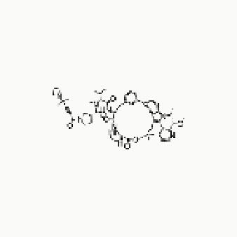 CCn1c(-c2cccnc2[C@H](C)OC)c2c3cc(ccc31)-c1cccc(c1)C[C@H](NC(=O)[C@H](C(C)C)N(C)C(=O)[C@@H]1CCN(C(=O)C#CC(C)(C)N3CCC3)C1)C(=O)N1CCC[C@H](N1)C(=O)OCC(C)(C)C2